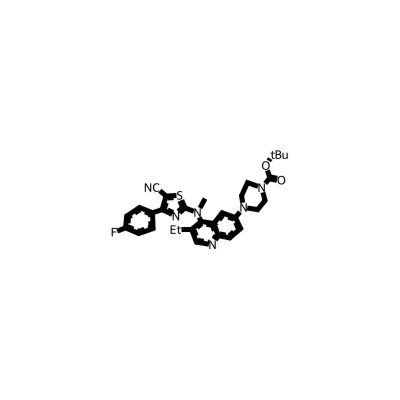 CCc1cnc2ccc(N3CCN(C(=O)OC(C)(C)C)CC3)cc2c1N(C)c1nc(-c2ccc(F)cc2)c(C#N)s1